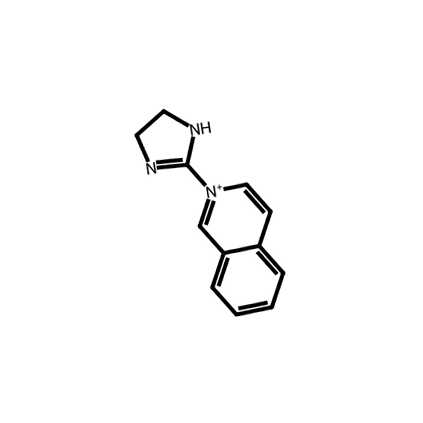 c1ccc2c[n+](C3=NCCN3)ccc2c1